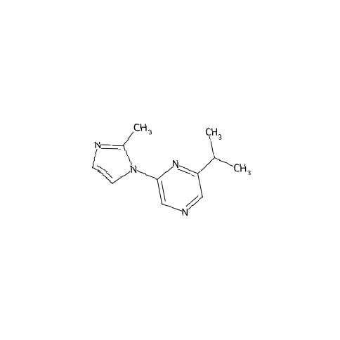 Cc1nccn1-c1cncc(C(C)C)n1